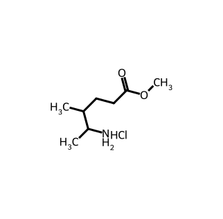 COC(=O)CCC(C)C(C)N.Cl